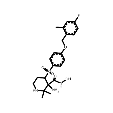 Cc1cc(F)ccc1COc1ccc(S(=O)(=O)C2CCNC(C)(C)C2(N)C(=O)NO)cc1